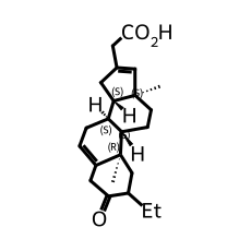 CCC1C[C@@]2(C)C(=CC[C@H]3[C@@H]4CC(CC(=O)O)=C[C@@]4(C)CC[C@@H]32)CC1=O